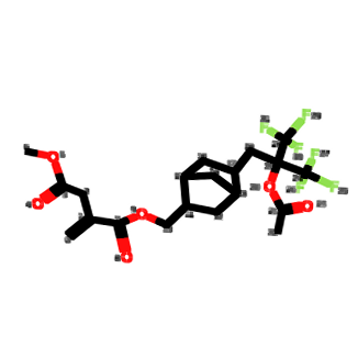 C=C(CC(=O)OC)C(=O)OCC1CC2CC1CC2CC(OC(C)=O)(C(F)(F)F)C(F)(F)F